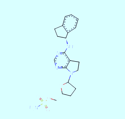 NS(=O)(=O)OC[C@H]1CCC(N2CCc3c(N[C@H]4CCc5ccccc54)ncnc32)O1